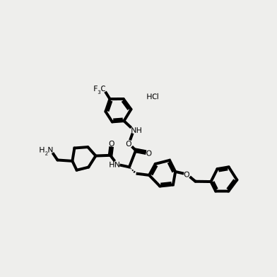 Cl.NCC1CCC(C(=O)N[C@@H](Cc2ccc(OCc3ccccc3)cc2)C(=O)ONc2ccc(C(F)(F)F)cc2)CC1